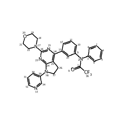 O=C(N(c1ccccc1)c1cccc(-c2nc(N3CCOCC3)nc3c2CCN3c2cccnc2)c1)C(F)(F)F